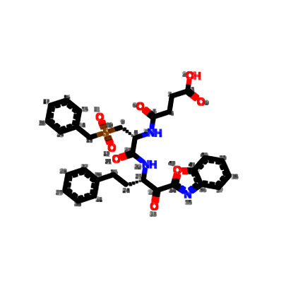 O=C(O)CCC(=O)N[C@@H](CS(=O)(=O)Cc1ccccc1)C(=O)N[C@@H](CCc1ccccc1)C(=O)c1nc2ccccc2o1